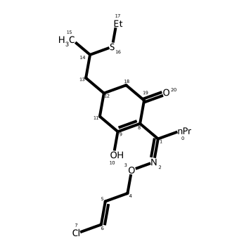 CCC/C(=N/OC/C=C/Cl)C1=C(O)CC(CC(C)SCC)CC1=O